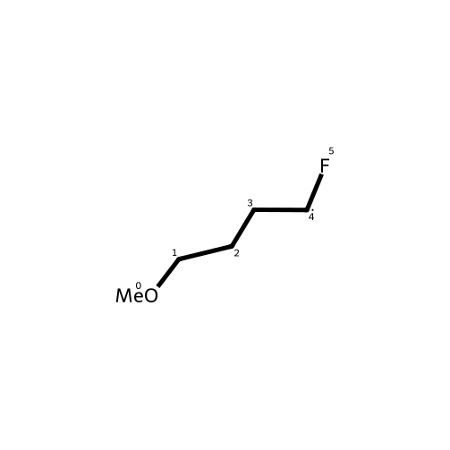 COCCC[CH]F